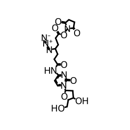 [N-]=[N+]=NC(CCC(=O)Nc1ccn(C2CC(O)C(CO)O2)c(=O)n1)CCC(=O)ON1C(=O)CCC1=O